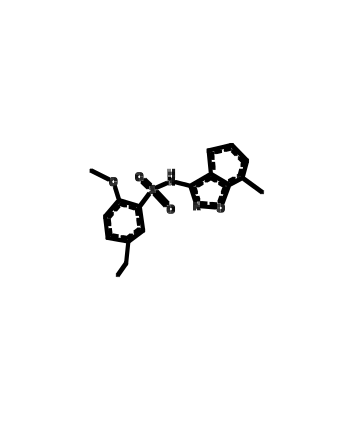 CCc1ccc(OC)c(S(=O)(=O)Nc2noc3c(C)cccc23)c1